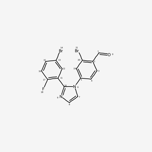 O=Cc1ccc(-n2ccnc2-c2cc(Br)ccc2F)cc1Br